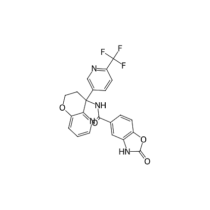 O=C(NC1(c2ccc(C(F)(F)F)nc2)CCOc2cccnc21)c1ccc2oc(=O)[nH]c2c1